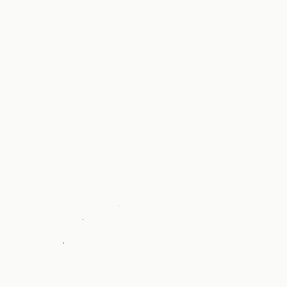 CCCC1CCC(c2ccc(-c3ccc(C(F)(F)C(F)(F)C(F)(F)F)cc3)cc2)CC1